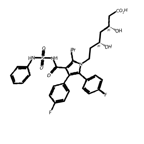 CC(C)c1c(C(=O)NS(=O)(=O)Nc2ccccc2)c(-c2ccc(F)cc2)c(-c2ccc(F)cc2)n1CC[C@@H](O)C[C@@H](O)CC(=O)O